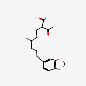 CCC(=O)C(CCC(CC)CCCc1ccc2c(c1)OCO2)C(=O)CC